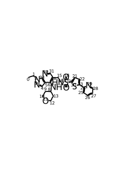 CCn1ncc2c(NC3CCOCC3)c(CNS(=O)(=O)c3ccc(-c4ccccn4)s3)cnc21